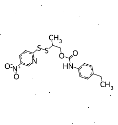 CCc1ccc(NC(=O)OCC(C)SSc2ccc([N+](=O)[O-])cn2)cc1